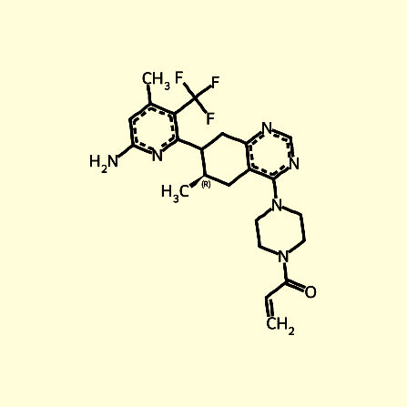 C=CC(=O)N1CCN(c2ncnc3c2C[C@@H](C)C(c2nc(N)cc(C)c2C(F)(F)F)C3)CC1